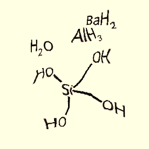 O.O[Si](O)(O)O.[AlH3].[BaH2]